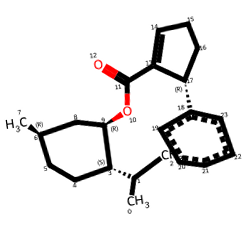 CC(C)[C@@H]1CC[C@@H](C)C[C@H]1OC(=O)C1=CCC[C@@H]1c1ccccc1